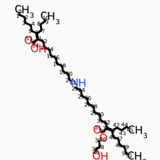 CCCCCC/C(CCCC)=C(/CCCCCCCCCCNCCCCCCCCCC/C(C(=O)OCCCO)=C(\CCCC)CCCCCC)C(=O)O